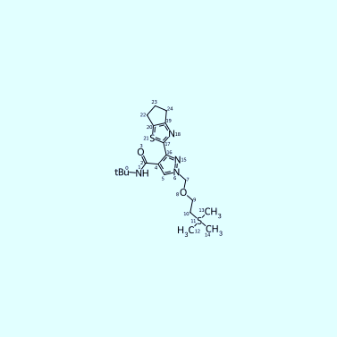 CC(C)(C)NC(=O)c1cn(COCCS(C)(C)C)nc1-c1nc2c(s1)CCC2